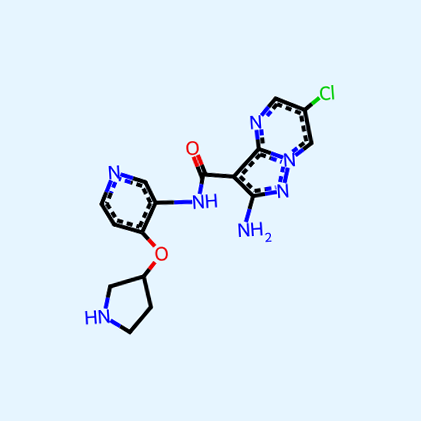 Nc1nn2cc(Cl)cnc2c1C(=O)Nc1cnccc1OC1CCNC1